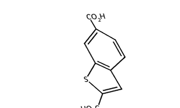 O=C(O)c1ccc2cc(C(=O)O)sc2c1